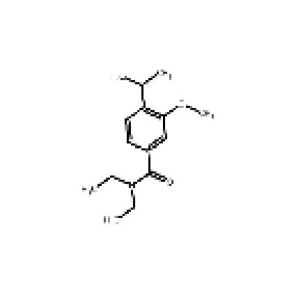 CCN(CC)C(=O)c1ccc(C(C)C)c(OC)c1